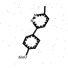 COc1ccc(-c2ccc(C)nn2)cc1